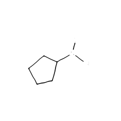 SN(S)C1CCCC1